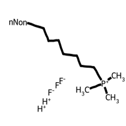 CCCCCCCCCCCCCCCC[P+](C)(C)C.[F-].[F-].[F-].[H+].[H+]